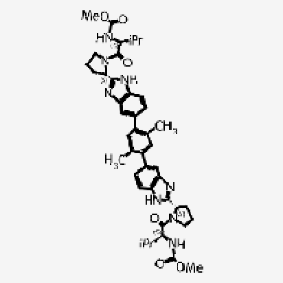 COC(=O)N[C@H](C(=O)N1CCC[C@H]1c1nc2cc(-c3cc(C)c(-c4ccc5[nH]c([C@@H]6CCCN6C(=O)[C@@H](NC(=O)OC)C(C)C)nc5c4)cc3C)ccc2[nH]1)C(C)C